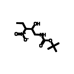 CCC(C(O)CNC(=O)OC(C)(C)C)[N+](=O)[O-]